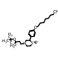 CCCCCCCCOc1ccc(C2CN(CCC(=O)OC(C)(C)C)CC[S+]2[O-])cc1